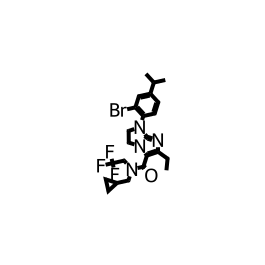 CCc1nc2n(c1C(=O)N(CC1CC1)CC(F)(F)F)CCN2c1ccc(C(C)C)cc1Br